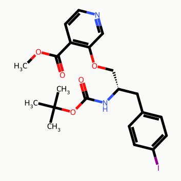 COC(=O)c1ccncc1OC[C@H](Cc1ccc(I)cc1)NC(=O)OC(C)(C)C